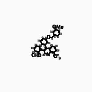 COc1cccc(COc2cccc(-c3c(-c4ccccc4C=O)cnc4c(C(F)(F)F)cccc34)c2)c1